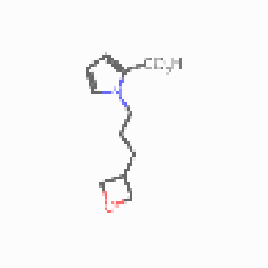 O=C(O)c1cccn1CCCC1COC1